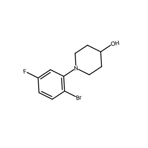 OC1CCN(c2cc(F)ccc2Br)CC1